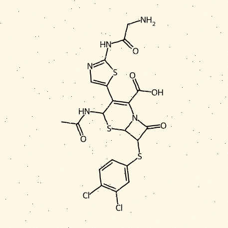 CC(=O)NC1SC2C(Sc3ccc(Cl)c(Cl)c3)C(=O)N2C(C(=O)O)=C1c1cnc(NC(=O)CN)s1